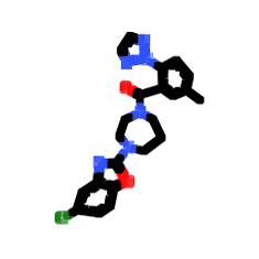 Cc1ccc(-n2nccn2)c(C(=O)N2CCCN(c3nc4cc(Cl)ccc4o3)CC2)c1